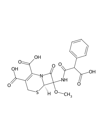 COC1(NC(=O)C(C(=O)O)c2ccccc2)C(=O)N2C(C(=O)O)=C(C(=O)O)CS[C@@H]21